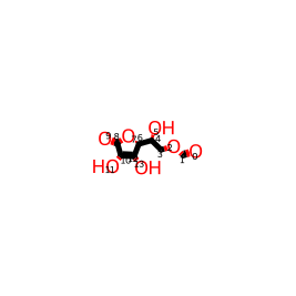 O=COC[C@H](O)[C@H]1OC(=O)C(O)=C1O